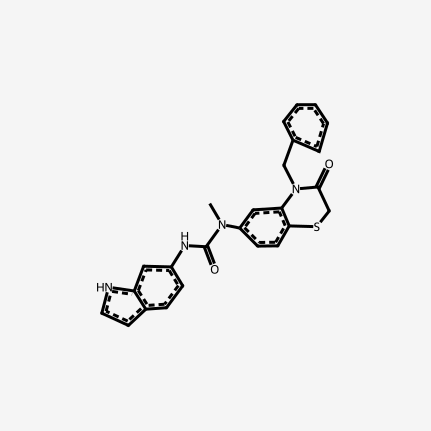 CN(C(=O)Nc1ccc2cc[nH]c2c1)c1ccc2c(c1)N(Cc1ccccc1)C(=O)CS2